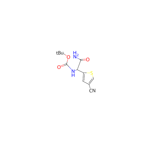 CC(C)(C)OC(=O)NC(C(N)=O)c1cc(C#N)cs1